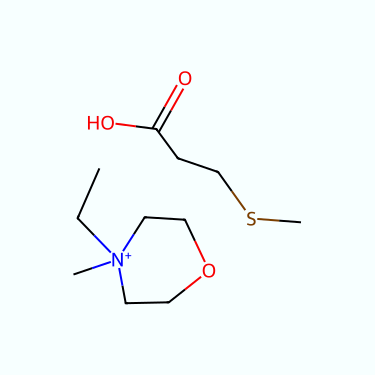 CC[N+]1(C)CCOCC1.CSCCC(=O)O